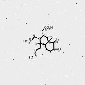 CCOOC[C@@]1(C)C2CCC(CC)C(CC)[C@@]2(C)C[C@@H](CC(=O)O)[C@@H]1CC(=O)O